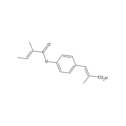 CC=C(C)C(=O)Oc1ccc(C=C(C)C(=O)O)cc1